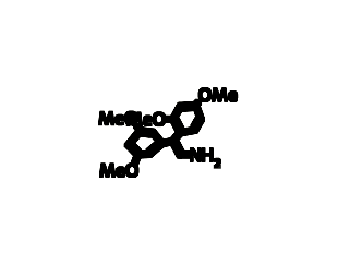 COc1cc(OC)cc(C(=CN)c2ccc(OC)cc2OC)c1